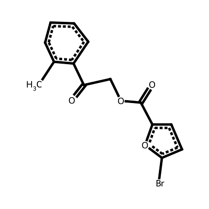 Cc1ccccc1C(=O)COC(=O)c1ccc(Br)o1